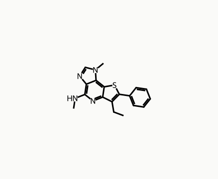 CCc1c(-c2ccccc2)sc2c1nc(NC)c1ncn(C)c12